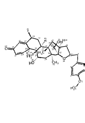 COc1ccc(CN2C[C@@H]3C[C@@]4(C)[C@@H]5C[C@H](F)C6=CC(=O)C=C[C@]6(C)[C@@]5(F)[C@@H](O)C[C@]4(C)[C@]3(C(=O)O)O2)cc1